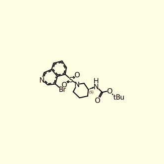 CC(C)(C)OC(=O)N[C@H]1CCCN(S(=O)(=O)c2cccc3cncc(Br)c23)C1